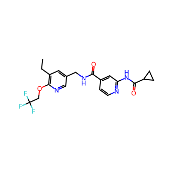 CCc1cc(CNC(=O)c2ccnc(NC(=O)C3CC3)c2)cnc1OCC(F)(F)F